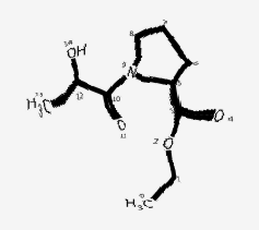 CCOC(=O)C1CCCN1C(=O)C(C)O